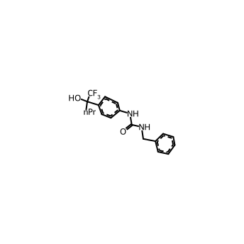 CCCC(O)(c1ccc(NC(=O)NCc2ccccc2)cc1)C(F)(F)F